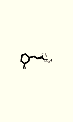 CCC1CCCC(CC=C(C)C(=O)O)C1